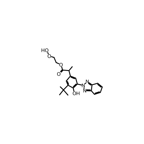 CC(C(=O)OCCOO)c1cc(-n2nc3ccccc3n2)c(O)c(C(C)(C)C)c1